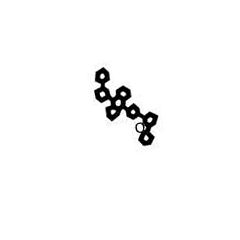 c1ccc(-c2cccc(-c3c4ccccc4c(-c4ccc(-c5cccc6c5oc5ccccc56)cc4)c4ccccc34)c2)cc1